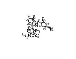 CC(C)(C)[C@H](NC(=O)c1nn(Cc2ccc(C#N)cc2F)c2c(F)cccc12)C(N)=O